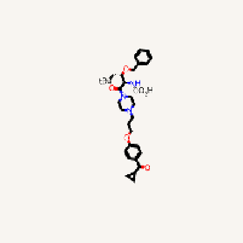 CC(C)(C)C[C@H](OCc1ccccc1)[C@@H](NC(=O)O)C(=O)N1CCN(CCCOc2ccc(C(=O)C3CC3)cc2)CC1